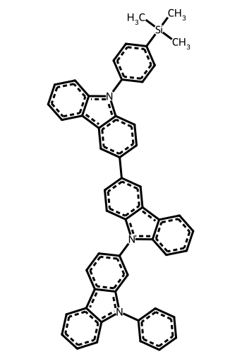 C[Si](C)(C)c1ccc(-n2c3ccccc3c3cc(-c4ccc5c(c4)c4ccccc4n5-c4ccc5c6ccccc6n(-c6ccccc6)c5c4)ccc32)cc1